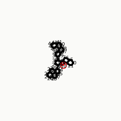 c1ccc2c(c1)ccc1c2oc2c(-c3ccc4ccc5cccc6ccc3c4c56)ccc(-c3ccc4c(ccc5ccc6ccccc6c54)c3)c21